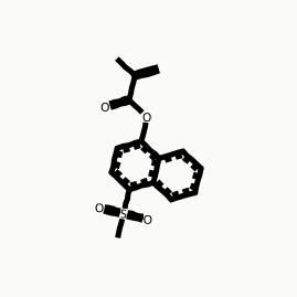 C=C(C)C(=O)Oc1ccc(S(C)(=O)=O)c2ccccc12